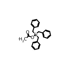 [CH2]C(=O)O[Si](Cc1ccccc1)(Cc1ccccc1)Cc1ccccc1